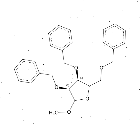 COC1OC(COCc2ccccc2)[C@H](OCc2ccccc2)[C@@H]1OCc1ccccc1